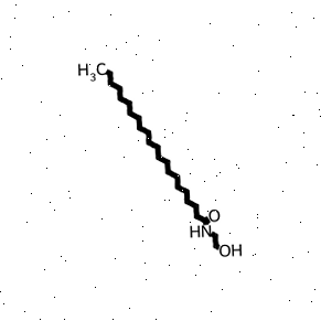 CCCCCCCCCCCCCCCCCCCCCC(=O)NCCO